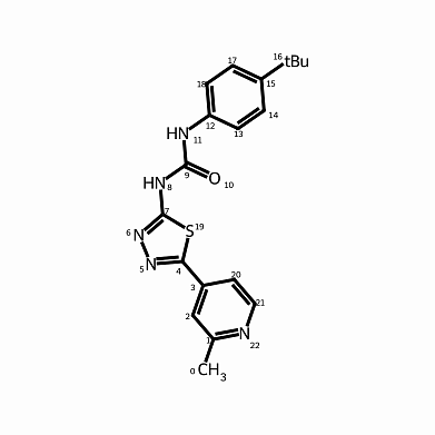 Cc1cc(-c2nnc(NC(=O)Nc3ccc(C(C)(C)C)cc3)s2)ccn1